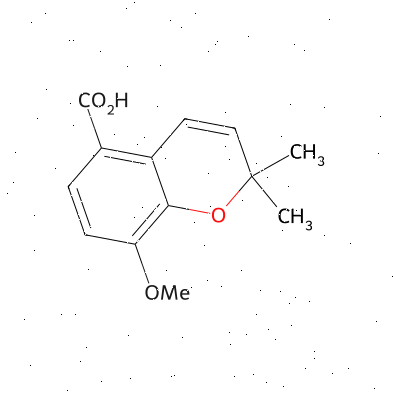 COc1ccc(C(=O)O)c2c1OC(C)(C)C=C2